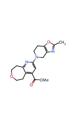 COC(=O)c1cc(N2CCc3oc(C)nc3C2)nc2c1CCOCC2